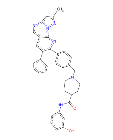 Cc1cc2ncc3cc(-c4ccccc4)c(-c4ccc(CN5CCC(C(=O)Nc6cccc(O)c6)CC5)cc4)nc3n2n1